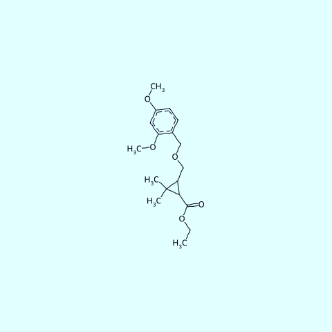 CCOC(=O)C1C(COCc2ccc(OC)cc2OC)C1(C)C